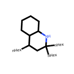 CCCCCCC1CC(CCCCCC)(CCCCCC)NC2CCCCC12